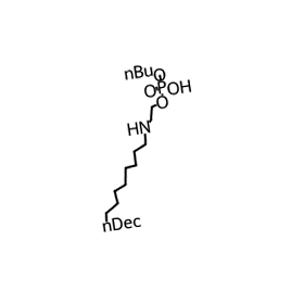 CCCCCCCCCCCCCCCCCCNCCOP(=O)(O)OCCCC